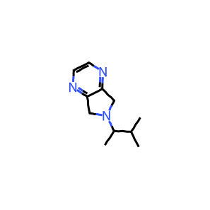 CC(C)C(C)N1Cc2nccnc2C1